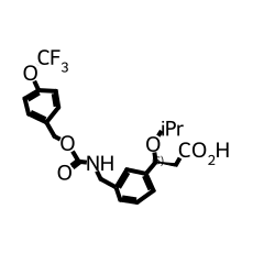 CC(C)O[C@@H](CC(=O)O)c1cccc(CNC(=O)OCc2ccc(OC(F)(F)F)cc2)c1